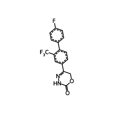 O=C1NN=C(c2ccc(-c3ccc(F)cc3)c(C(F)(F)F)c2)CO1